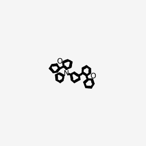 c1ccc(N(c2cccc(-c3cccc4oc5ccccc5c34)c2)c2cccc3oc4ccccc4c23)cc1